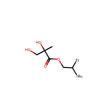 CCCCC(CC)COC(=O)C(C)(O)CO